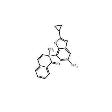 C[N+]1(c2cc(N)cc3nc(C4CC4)oc23)C=Cc2ccccc2C1=O